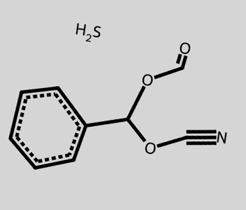 N#COC(OC=O)c1ccccc1.S